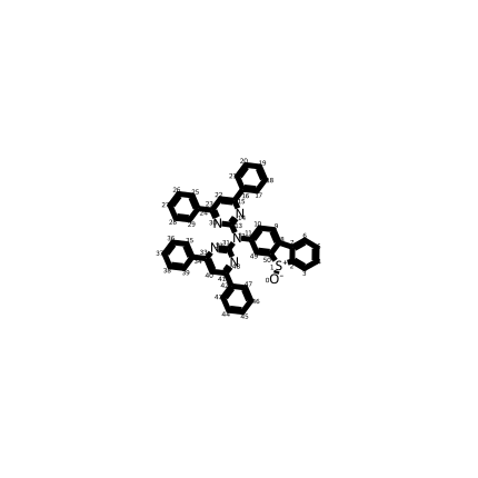 [O-][s+]1c2ccccc2c2ccc(N(c3nc(-c4ccccc4)cc(-c4ccccc4)n3)c3nc(-c4ccccc4)cc(-c4ccccc4)n3)cc21